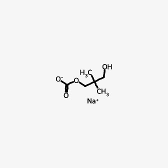 CC(C)(CO)COC(=O)[O-].[Na+]